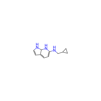 C1=CC2=CC=C(NCC3CC3)NC2N1